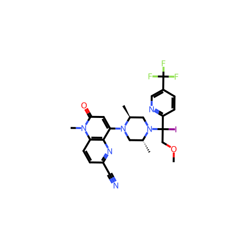 COCC(I)(c1ccc(C(F)(F)F)cn1)N1C[C@H](C)N(c2cc(=O)n(C)c3ccc(C#N)nc23)C[C@H]1C